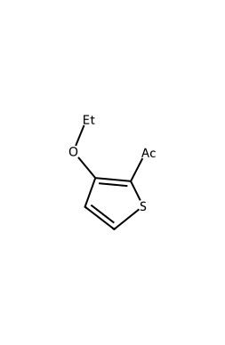 CCOc1ccsc1C(C)=O